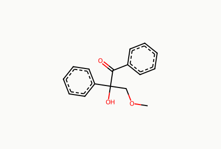 COCC(O)(C(=O)c1ccccc1)c1ccccc1